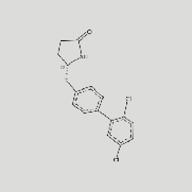 O=C1CC[C@@H](Cc2ccc(-c3cc(Cl)ccc3Cl)cc2)N1